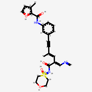 C=N/C=C(\C=C(/C)C#Cc1cccc(NC(=O)c2occc2C)c1)C(=O)N=S1(=O)CCOCC1